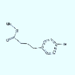 CC(C)(C)OC(=O)CCCc1ccc(Br)cc1